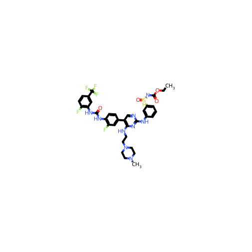 CCOC(=O)/N=[SH](=O)\c1cccc(Nc2ncc(-c3ccc(NC(=O)Nc4cc(C(F)(F)F)ccc4F)c(F)c3)c(NCCN3CCN(C)CC3)n2)c1